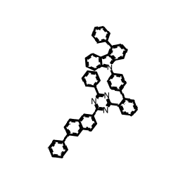 c1ccc(-c2ccc3cc(-c4nc(-c5ccccc5)nc(-c5ccccc5-c5ccc(-n6c7ccccc7c7c(-c8ccccc8)cccc76)cc5)n4)ccc3c2)cc1